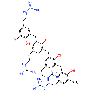 CCc1cc(CCNC(=N)N)cc(Cc2cc(CCNC(=N)N)cc(Cc3cc(CCNC(=N)N)cc(Cc4cc(CCNC(=N)N)cc(C)c4O)c3O)c2O)c1O